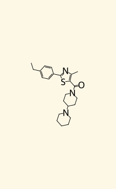 CCc1ccc(-c2nc(C)c(C(=O)N3CCC(N4CCCCC4)CC3)s2)cc1